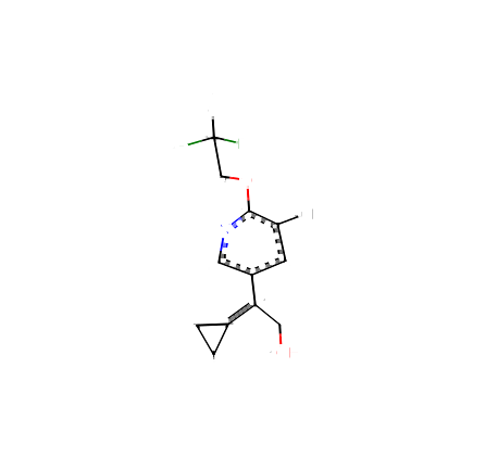 Cc1cc(C(CO)=C2CC2)cnc1OCC(C)(F)F